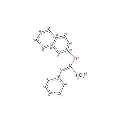 O=C(O)C(=Cc1ccccc1)Oc1ccc2ccccc2c1